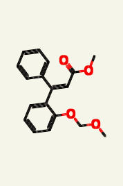 COCOc1ccccc1C(=CC(=O)OC)c1ccccc1